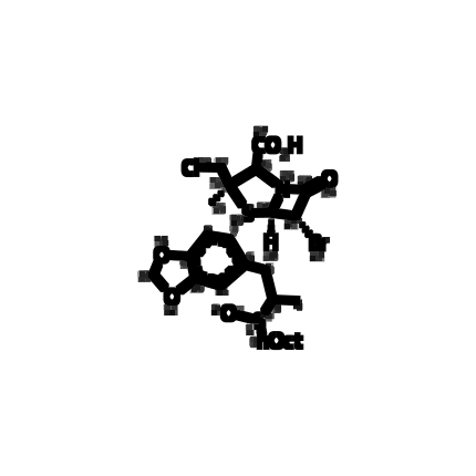 CCCCCCCC[S+]([O-])C(C)Cc1ccc2c(c1)OCO2.C[C@@]1(CCl)S[C@@H]2[C@@H](Br)C(=O)N2C1C(=O)O